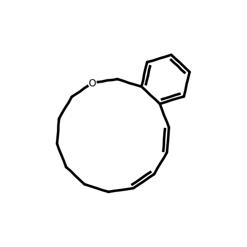 C1=CCCCCCCOCc2ccccc2C=C1